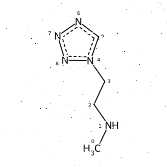 CNCCn1[c]nnn1